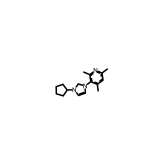 Cc1cc(C)c(N2C=CN(C3CCCC3)C2)c(C)n1